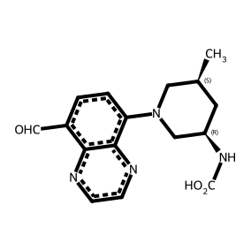 C[C@H]1C[C@@H](NC(=O)O)CN(c2ccc(C=O)c3nccnc23)C1